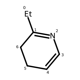 CCC1=NC=CCC1